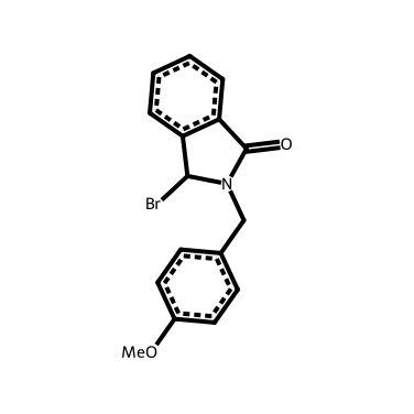 COc1ccc(CN2C(=O)c3ccccc3C2Br)cc1